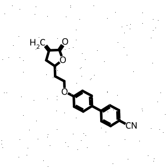 C=C1CC(CCOc2ccc(-c3ccc(C#N)cc3)cc2)OC1=O